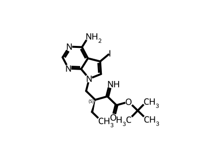 CC[C@@H](Cn1cc(I)c2c(N)ncnc21)C(=N)C(=O)OC(C)(C)C